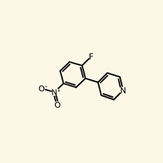 O=[N+]([O-])c1ccc(F)c(-c2ccncc2)c1